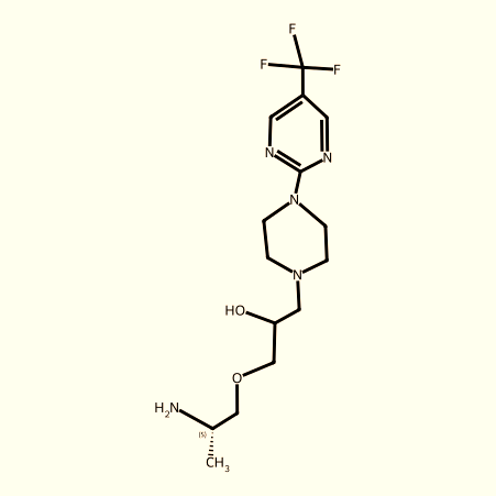 C[C@H](N)COCC(O)CN1CCN(c2ncc(C(F)(F)F)cn2)CC1